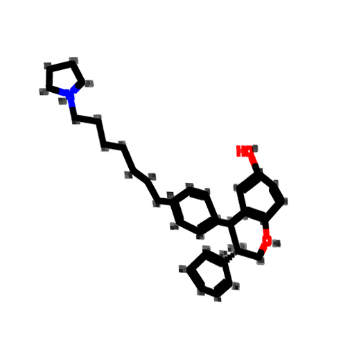 Oc1ccc2c(c1)C(c1ccc(CCCCCCCN3CCCC3)cc1)[C@@H](c1ccccc1)CO2